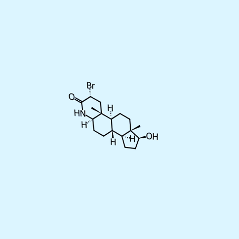 C[C@]12C[C@@H](Br)C(=O)N[C@@H]1CC[C@@H]1[C@@H]2CC[C@]2(C)[C@@H](O)CC[C@@H]12